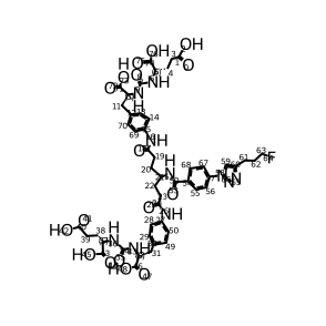 O=C(O)CC[C@H](NC(=O)N[C@@H](Cc1ccc(NC(=O)CCC(CCC(=O)Nc2ccc(C[C@H](NC(=O)N[C@@H](CCC(=O)O)C(=O)O)C(=O)O)cc2)NC(=O)c2ccc(-n3cc(CCCF)nn3)cc2)cc1)C(=O)O)C(=O)O